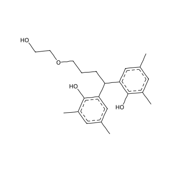 Cc1cc(C)c(O)c(C(CCCOCCO)c2cc(C)cc(C)c2O)c1